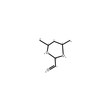 CC1CC(C)OC(C=O)O1